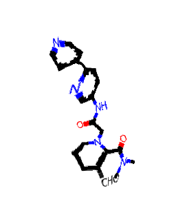 CN(C)C(=O)C1=C(C=O)CCCN1CC(=O)Nc1ccc(-c2ccncc2)nc1